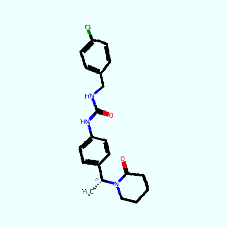 C[C@H](c1ccc(NC(=O)NCc2ccc(Cl)cc2)cc1)N1CCCCC1=O